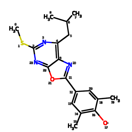 CSc1nc(CC(C)C)c2nc(-c3cc(C)c([O])c(C)c3)oc2n1